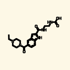 CCN1CCN(C(=O)c2ccc3[nH]c(C(=O)NCCNC(=O)O)cc3c2)CC1